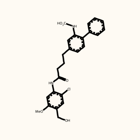 COc1cc(NC(=O)CCCc2ccc(-c3ccccc3)c(NC(=O)O)c2)c(Cl)cc1CO